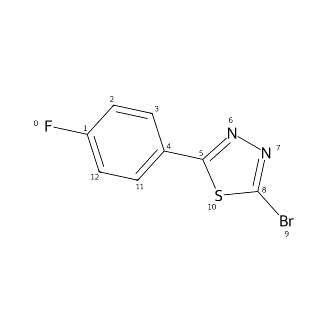 Fc1ccc(-c2nnc(Br)s2)cc1